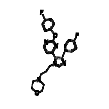 Fc1ccc(Oc2nccc(-c3c(-c4ccc(F)cc4)ncn3CCCN3CCOCC3)n2)cc1